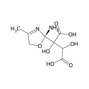 CC1=N[C@](N)(C(O)(C(=O)O)C(O)C(=O)O)OC1